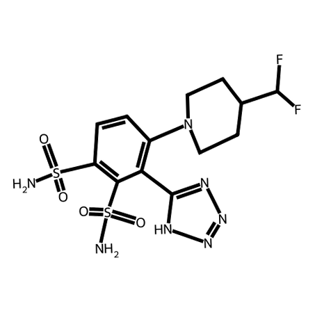 NS(=O)(=O)c1ccc(N2CCC(C(F)F)CC2)c(-c2nnn[nH]2)c1S(N)(=O)=O